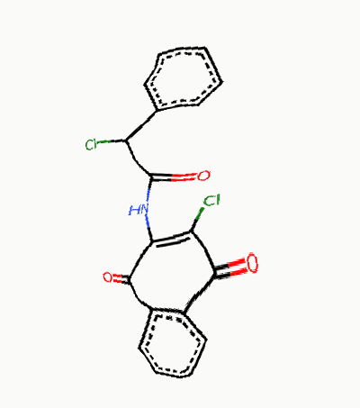 O=C1C(Cl)=C(NC(=O)C(Cl)c2ccccc2)C(=O)c2ccccc21